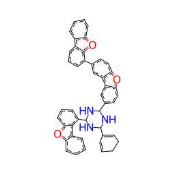 C1=CC(C2NC(c3ccc4oc5ccc(-c6cccc7c6oc6ccccc67)cc5c4c3)NC(c3cccc4oc5ccccc5c34)N2)=CCC1